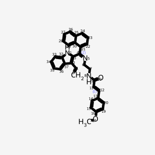 C=Cc1c(/C(=N\CCNC(=O)/C=C/c2ccc(OC)cc2)c2cccc3ccccc23)[nH]c2ccccc12